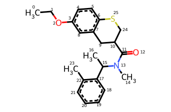 CCOc1ccc2c(c1)CC(C(=O)N(C)C(C)c1ccccc1C)CS2